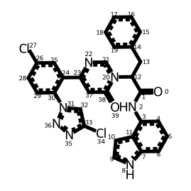 O=C(Nc1cccc2[nH]ccc12)C(Cc1ccccc1)n1cnc(-c2cc(Cl)ccc2-n2cc(Cl)nn2)cc1=O